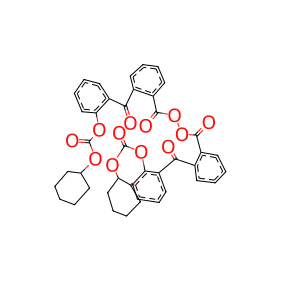 O=C(Oc1ccccc1C(=O)c1ccccc1C(=O)OOC(=O)c1ccccc1C(=O)c1ccccc1OC(=O)OC1CCCCC1)OC1CCCCC1